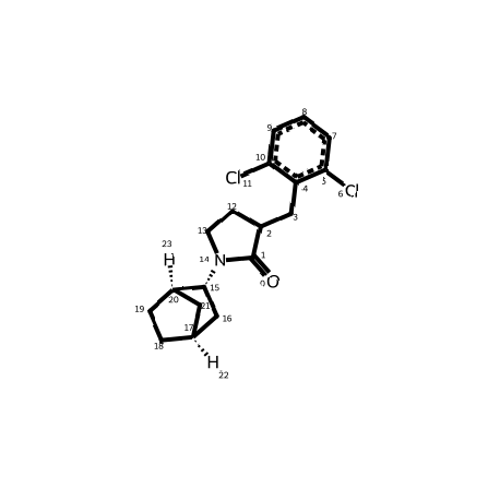 O=C1C(Cc2c(Cl)cccc2Cl)CCN1[C@@H]1C[C@H]2CC[C@@H]1C2